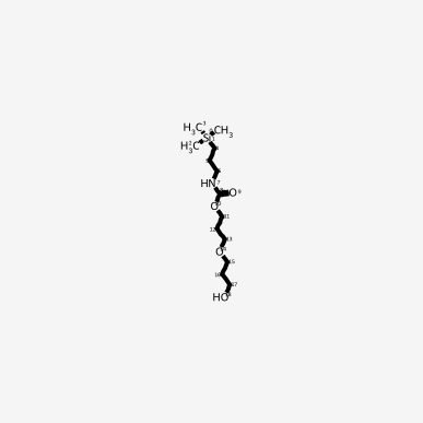 C[Si](C)(C)CCCNC(=O)OCCCOCCCO